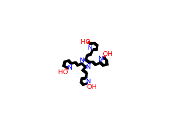 Oc1cccc(C=Cc2nc(C=Cc3cccc(O)n3)c(C=Cc3cccc(O)n3)nc2C=Cc2cccc(O)n2)n1